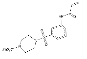 C=CC(=O)Nc1cccc(S(=O)(=O)N2CCN(C(=O)OCC)CC2)c1